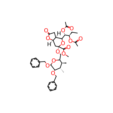 CC[C@@H](OC(C)=O)[C@@H](OC(C)=O)C1O[C@@](OCC2O[C@@H](OCc3ccccc3)C(OCc3ccccc3)[C@@H](C)[C@@H]2C)(C(=O)OC)C[C@H]2OC(=O)C[C@@H]12